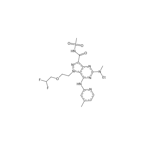 CCN(C)c1nc(Nc2cc(C)ccn2)c2c(n1)c(C(=O)NS(C)(=O)=O)nn2CCOCC(F)F